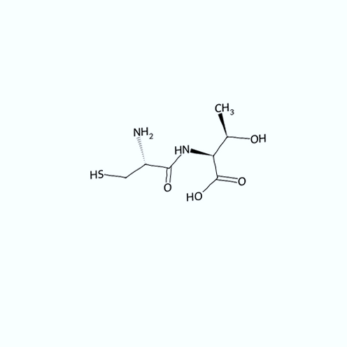 C[C@@H](O)[C@H](NC(=O)[C@@H](N)CS)C(=O)O